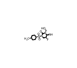 Cc1ccc(S(=O)(=O)n2cc(F)c(=N)n(CO)c2=O)cc1